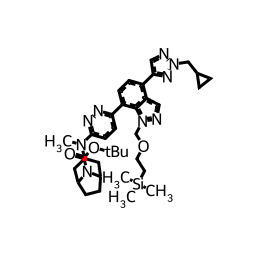 CN(c1ccc(-c2ccc(-c3cnn(CC4CC4)n3)c3cnn(COCC[Si](C)(C)C)c23)nn1)C1CC2CCC(C1)N2C(=O)OC(C)(C)C